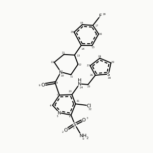 NS(=O)(=O)c1ncc(C(=O)N2CCC(c3ccc(F)cc3)CC2)c(NCc2cccs2)c1Cl